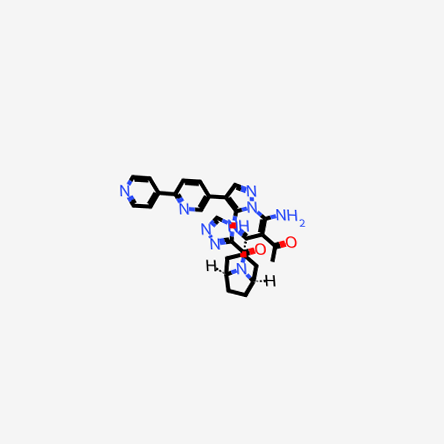 CC(=O)c1c([C@@H]2C[C@H]3CC[C@@H](C2)N3C(=O)c2nnc[nH]2)nc2c(-c3ccc(-c4ccncc4)nc3)cnn2c1N